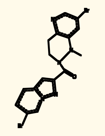 CN1c2cc(Br)cnc2CCN1C(=O)c1cc2ccc(Br)cn2n1